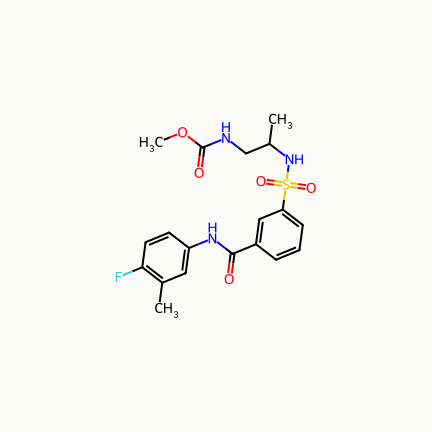 COC(=O)NCC(C)NS(=O)(=O)c1cccc(C(=O)Nc2ccc(F)c(C)c2)c1